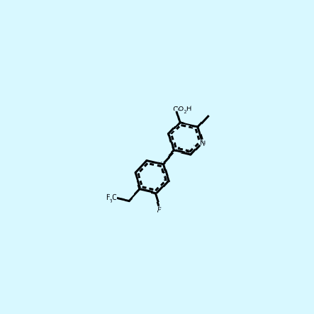 Cc1ncc(-c2ccc(CC(F)(F)F)c(F)c2)cc1C(=O)O